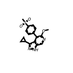 COc1ncc2[nH]nc(C3CC3)c2c1-c1ccc(S(C)(=O)=O)cc1